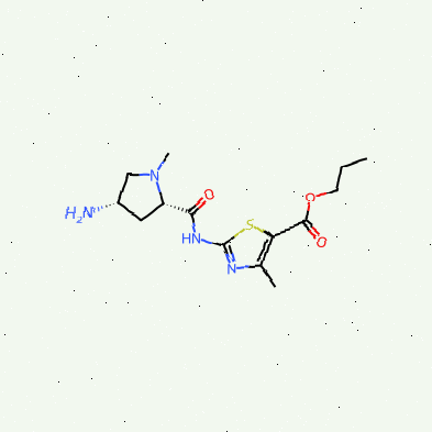 CCCOC(=O)c1sc(NC(=O)[C@@H]2C[C@H](N)CN2C)nc1C